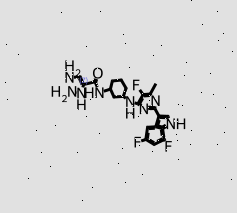 Cc1nc(-c2c[nH]c3c(F)cc(F)cc23)nc(NC2CCCC(NC(=O)/C(=C/N)NN)C2)c1F